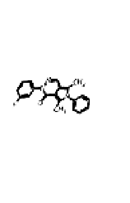 Cc1c2cnn(-c3cccc(F)c3)c(=O)c2c(C)n1-c1ccccc1